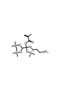 C=C(C)C(=O)OC(OCCC[SiH3])(O[Si](C)(C)C)C(O[Si](C)(C)C)O[Si](C)(C)C